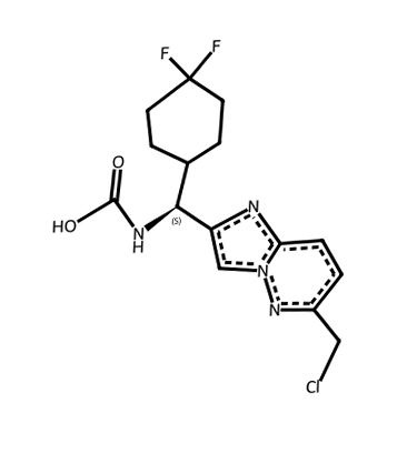 O=C(O)N[C@H](c1cn2nc(CCl)ccc2n1)C1CCC(F)(F)CC1